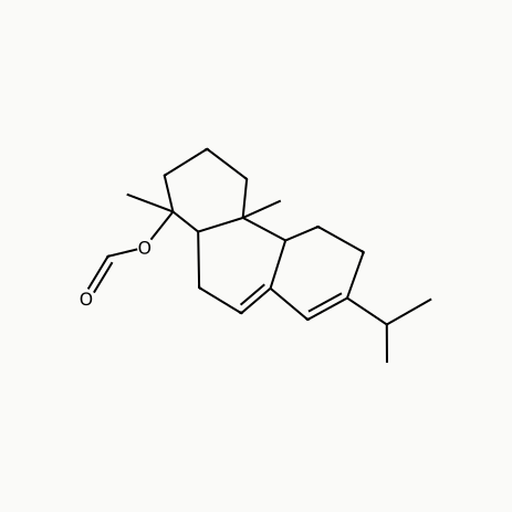 CC(C)C1=CC2=CCC3C(C)(OC=O)CCCC3(C)C2CC1